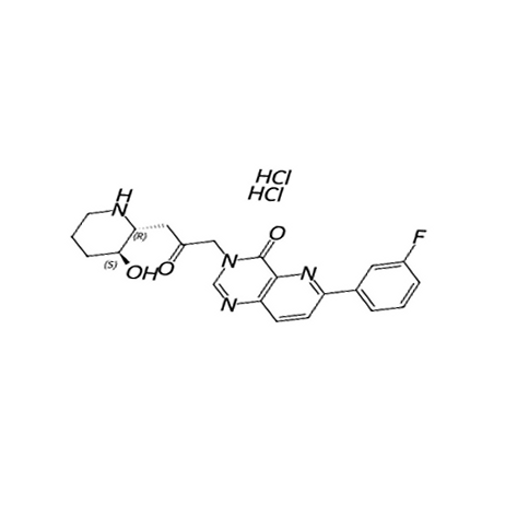 Cl.Cl.O=C(C[C@H]1NCCC[C@@H]1O)Cn1cnc2ccc(-c3cccc(F)c3)nc2c1=O